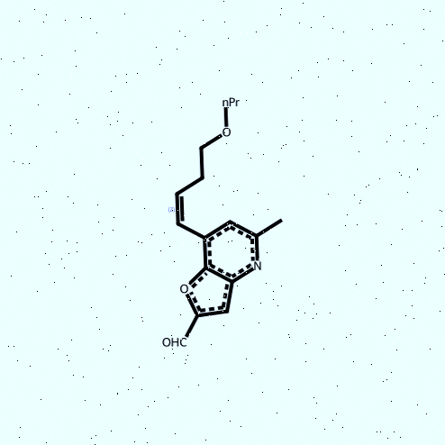 CCCOCC/C=C\c1cc(C)nc2cc(C=O)oc12